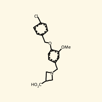 COc1cc(CN2CC(C(=O)O)C2)ccc1OCc1ccc(Cl)cc1